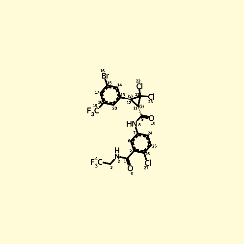 O=C(NCC(F)(F)F)c1cc(NC(=O)[C@@H]2[C@@H](c3cc(Br)cc(C(F)(F)F)c3)C2(Cl)Cl)ccc1Cl